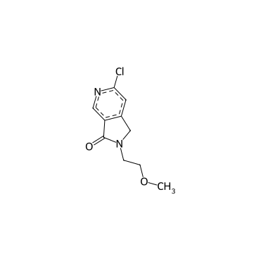 COCCN1Cc2cc(Cl)ncc2C1=O